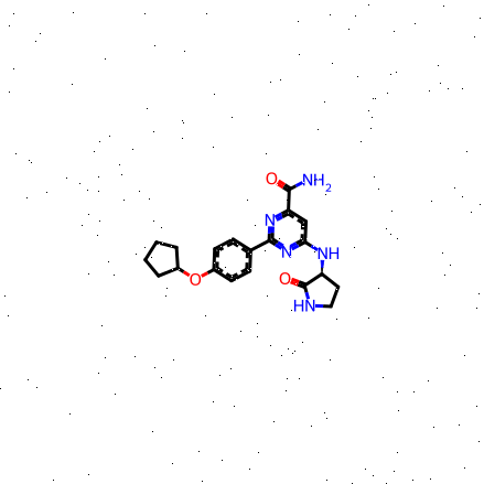 NC(=O)c1cc(N[C@H]2CCNC2=O)nc(-c2ccc(OC3CCCC3)cc2)n1